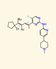 CCC(C)/C(=C(\C=C(/C)c1nc(Nc2ccc(C3CCN(C)CC3)cn2)ncc1F)C(C)=O)C1(CC)CCCC1